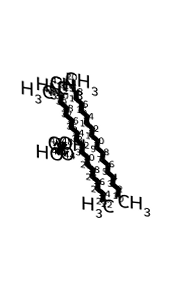 CCCCCCCCCCCCCCCCCCCN(C)C.CCCCCCCCCCCCCCCCCCCN(C)C.O=S(=O)(O)O